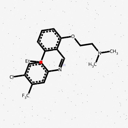 CCOc1cccc(OCCN(C)C)c1/C=N\c1ccc(Cl)c(C(F)(F)F)c1